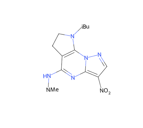 CCC(C)N1CCc2c(NNC)nc3c([N+](=O)[O-])cnn3c21